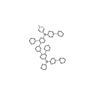 CC1C=CC(N(c2ccc(-c3ccccc3)cc2)c2ccc(-c3cccc(-c4ccc(N(c5ccccc5)c5ccc(-c6ccccc6)cc5)cc4-c4ccccc4)c3)c(-c3ccccc3)c2)=CC1